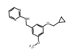 FC(F)(F)Oc1cc(CNc2nc[c]cn2)cc(OCC2CC2)c1